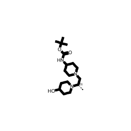 C[C@@H](CN1CCC(NC(=O)OC(C)(C)C)CC1)N1CCC(O)CC1